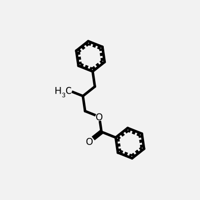 CC(COC(=O)c1ccccc1)Cc1ccccc1